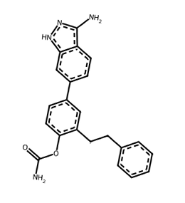 NC(=O)Oc1ccc(-c2ccc3c(N)n[nH]c3c2)cc1[CH]Cc1ccccc1